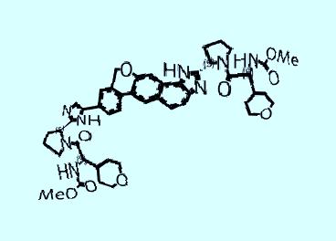 COC(=O)N[C@H](C(=O)N1CCC[C@H]1c1ncc(-c2ccc3c(c2)COc2cc4c(ccc5nc([C@@H]6CCCN6C(=O)[C@@H](NC(=O)OC)C6CCOCC6)[nH]c54)cc2-3)[nH]1)C1CCOCC1